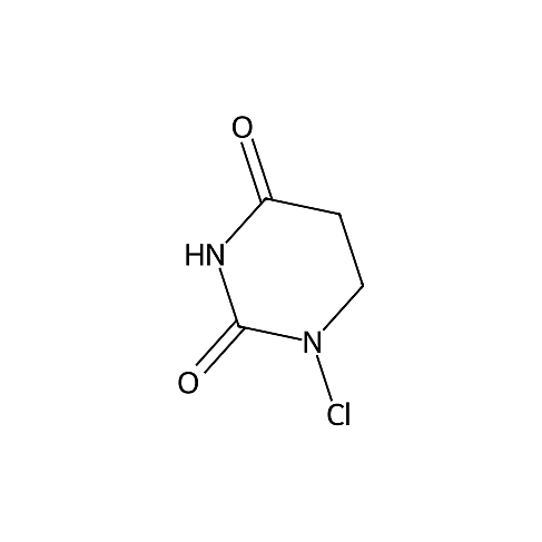 O=C1CCN(Cl)C(=O)N1